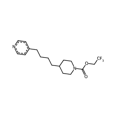 O=C(OCC(F)(F)F)N1CCC(CCCCc2ccncc2)CC1